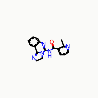 Cc1ncccc1C(=O)NC1=Nc2ccccc2C2=NCCN12